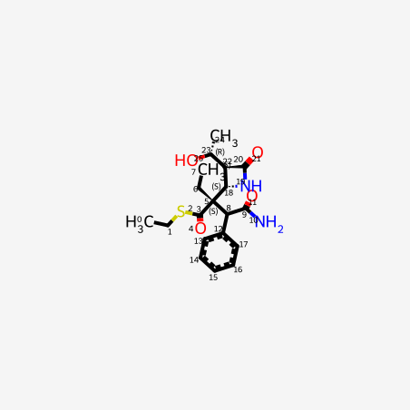 CCSC(=O)[C@@](CC)(C(C(N)=O)c1ccccc1)[C@H]1NC(=O)[C@@H]1[C@@H](C)O